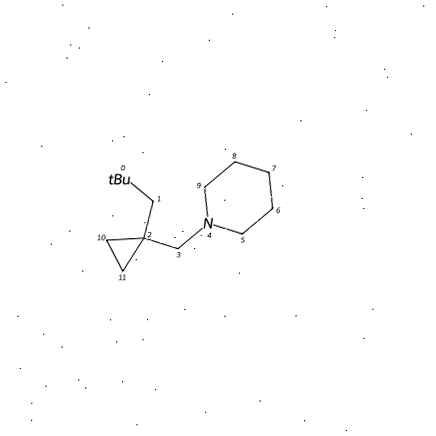 CC(C)(C)CC1(CN2CCCCC2)CC1